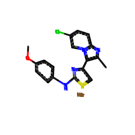 Br.COc1ccc(Nc2nc(-c3c(C)nc4ccc(Cl)cn34)cs2)cc1